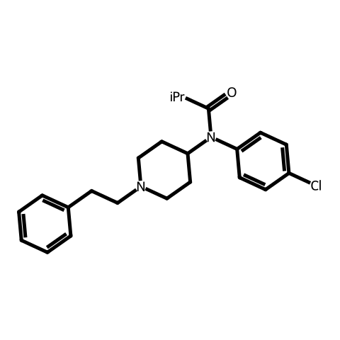 CC(C)C(=O)N(c1ccc(Cl)cc1)C1CCN(CCc2ccccc2)CC1